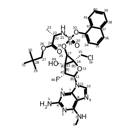 CNc1nc(N)nc2c1ncn2[C@@H]1O[C@]2(CCl)C(O[P@](=O)(N[C@@H](C)C(=O)OCC(C)(C)C)Oc3cccc4ccccc34)[C@]2(O)[C@H]1F